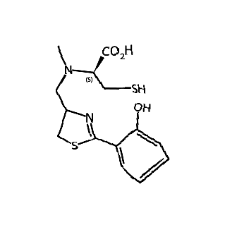 CN(CC1CSC(c2ccccc2O)=N1)[C@H](CS)C(=O)O